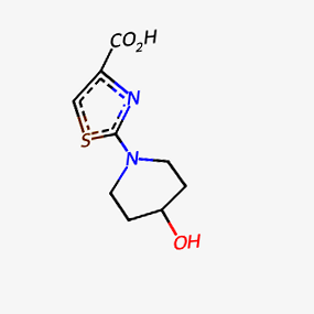 O=C(O)c1csc(N2CCC(O)CC2)n1